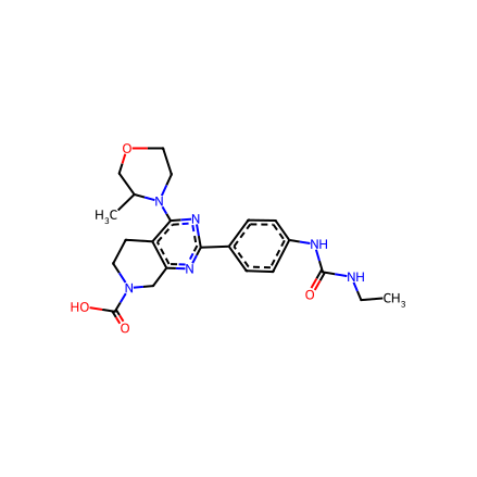 CCNC(=O)Nc1ccc(-c2nc3c(c(N4CCOCC4C)n2)CCN(C(=O)O)C3)cc1